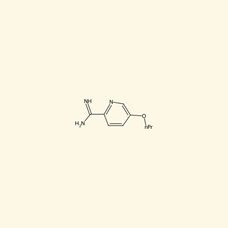 CCCOc1ccc(C(=N)N)nc1